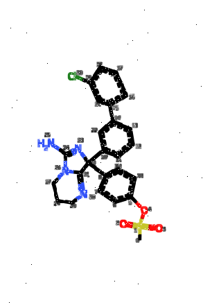 CS(=O)(=O)Oc1ccc(C2(c3cccc(-c4cccc(Cl)c4)c3)N=C(N)N3CCCN=C32)cc1